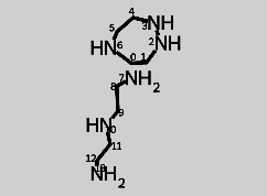 C1CNNCCN1.NCCNCCN